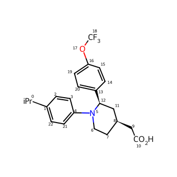 CC(C)c1ccc(N2CC[C@H](CC(=O)O)C[C@@H]2c2ccc(OC(F)(F)F)cc2)cc1